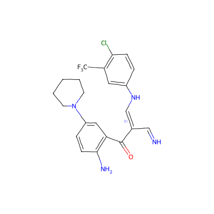 N=C/C(=C\Nc1ccc(Cl)c(C(F)(F)F)c1)C(=O)c1cc(N2CCCCC2)ccc1N